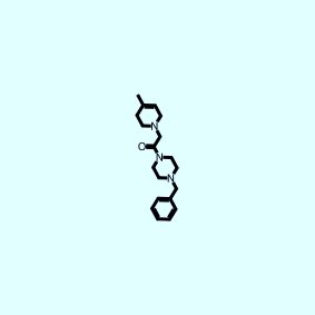 CC1=CCN(CC(=O)N2CCN(Cc3ccccc3)CC2)CC1